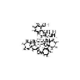 CCOC(=O)NCC1(CC(=O)Oc2cccc([C@@]3(O)CCCC[C@@H]3CN(C)C)c2)CCCCC1.O=C(O)c1ccccc1O